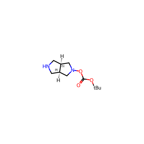 CC(C)(C)OC(=O)ON1C[C@H]2CNC[C@H]2C1